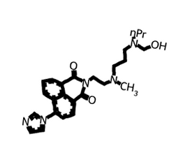 CCCN(CO)CCCN(C)CCN1C(=O)c2cccc3c(-n4ccnc4)ccc(c23)C1=O